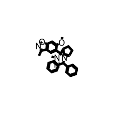 CNC1(c2cc3c(C)noc3cc2OC)C2CCC(C2)N1C(c1ccccc1)c1ccccc1